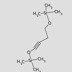 C[Si](C)(C)OC#CCCO[Si](C)(C)C